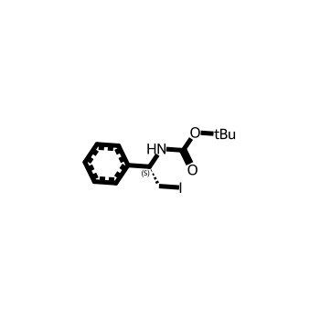 CC(C)(C)OC(=O)N[C@H](CI)c1ccccc1